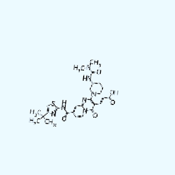 CN(C)C(=O)NC1CCCN(c2nc3cc(C(=O)Nc4nc(C(C)(C)C)cs4)ccn3c(=O)c2/C=C/C(=O)O)C1